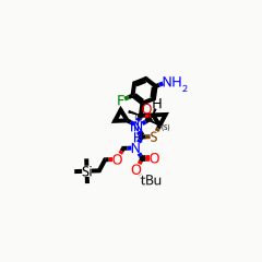 CC(C)(C)OC(=O)N(COCC[Si](C)(C)C)C1=N[C@](C)(c2cc(N)ccc2F)[C@@H]2C[C@]2(C(=O)NC2CC2)S1